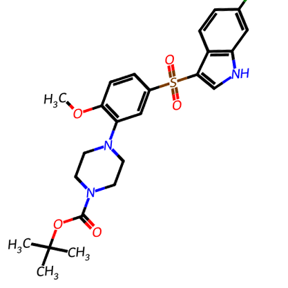 COc1ccc(S(=O)(=O)c2c[nH]c3cc(F)ccc23)cc1N1CCN(C(=O)OC(C)(C)C)CC1